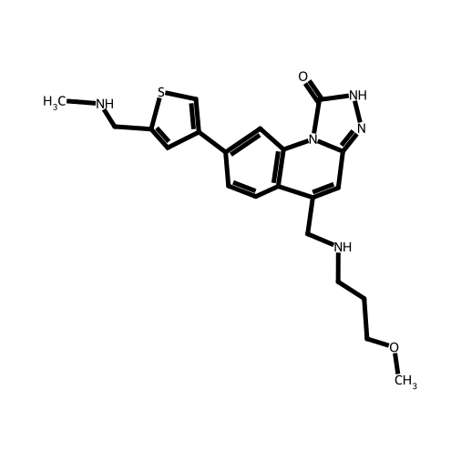 CNCc1cc(-c2ccc3c(CNCCCOC)cc4n[nH]c(=O)n4c3c2)cs1